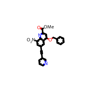 COC(=O)c1cc(OCc2ccccc2)c2cc(C#Cc3cccnc3)cc([N+](=O)[O-])c2n1